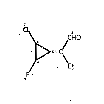 CCOC=O.FC1CC1Cl